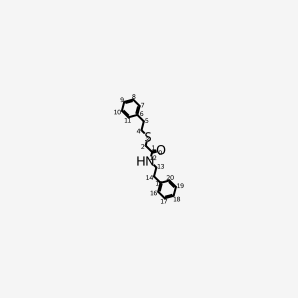 O=C(CSCCc1ccccc1)NCCc1ccccc1